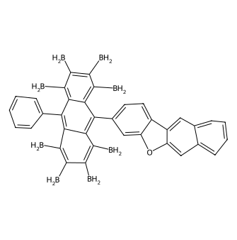 Bc1c(B)c(B)c2c(-c3ccc4c(c3)oc3cc5ccccc5cc34)c3c(B)c(B)c(B)c(B)c3c(-c3ccccc3)c2c1B